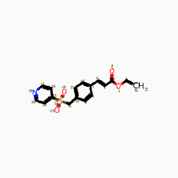 CCOC(=O)C=Cc1ccc(CS(=O)(=O)c2ccncc2)cc1